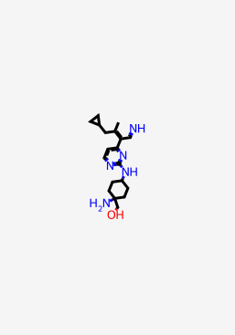 C/C(CC1CC1)=C(\C=N)c1ccnc(NC2CCC(N)(CO)CC2)n1